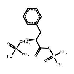 NP(=O)(O)O.N[C@@H](Cc1ccccc1)C(=O)OP(N)(=O)O